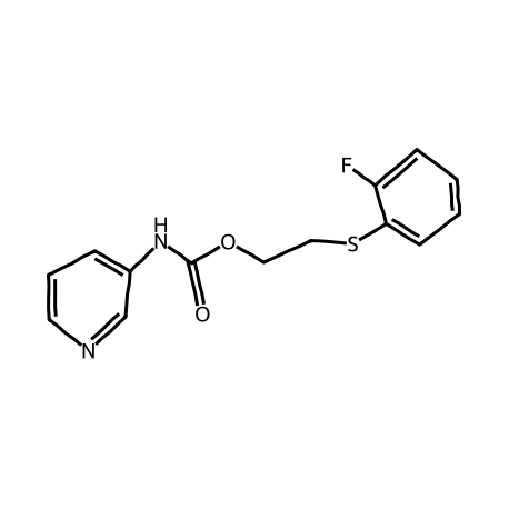 O=C(Nc1cccnc1)OCCSc1ccccc1F